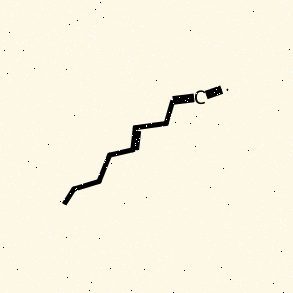 [CH]=C=CCC=CCCCC